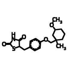 COC1CCCC(C)(COc2ccc(CC3SC(=O)NC3=O)cc2)C1